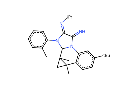 Cc1ccccc1N1/C(=N/C(C)C)C(=N)N2c3cc(C(C)(C)C)ccc3C3(C)CC3(C)C21